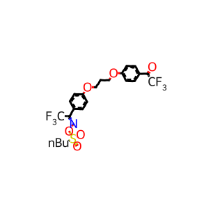 CCCCS(=O)(=O)ON=C(c1ccc(OCCCOc2ccc(C(=O)C(F)(F)F)cc2)cc1)C(F)(F)F